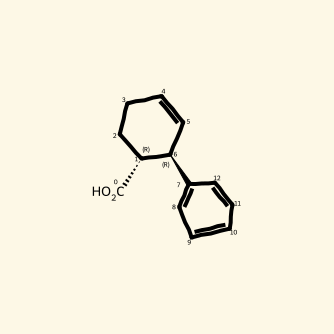 O=C(O)[C@@H]1CCC=C[C@H]1c1ccccc1